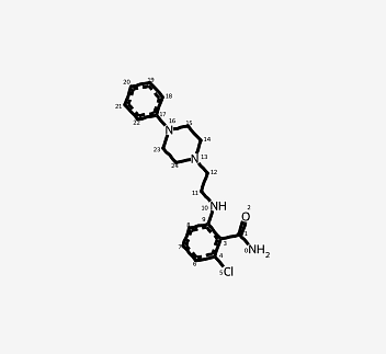 NC(=O)c1c(Cl)cccc1NCCN1CCN(c2ccccc2)CC1